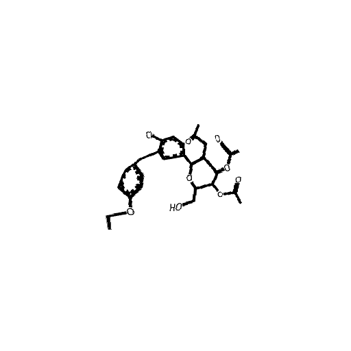 CCOc1ccc(Cc2cc(C3OC(CO)C(OC(C)=O)C(OC(C)=O)C3CC(C)=O)ccc2Cl)cc1